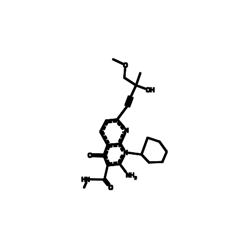 CNC(=O)c1c(N)n(C2CCCCC2)c2nc(C#CC(C)(O)COC)ccc2c1=O